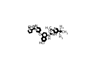 COc1ncc(C(C)(C)C)cc1NC(=O)N[C@H]1CC[C@@H](Oc2ccc3nnc(C4CCCN4C)n3c2)c2ccccc21.Cl